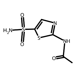 CC(=O)Nc1ncc(S(N)(=O)=O)s1